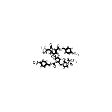 C[C@@H](O)[C@H]1C(=O)N2C(C(=O)OCc3ccc([N+](=O)[O-])cc3)=C(S[C@H]3C[C@@H](CN4CCN(S(C)(=O)=O)C4=O)N(C(=O)OCc4ccc([N+](=O)[O-])cc4)C3)[C@H](C)[C@H]12